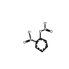 O=[N+]([O-])Oc1ccccc1[N+](=O)[O-]